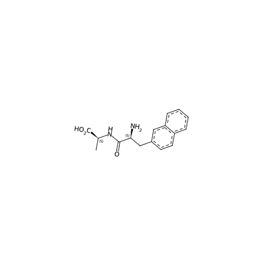 C[C@H](NC(=O)[C@@H](N)Cc1ccc2ccccc2c1)C(=O)O